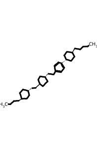 CCCCC[C@H]1CC[C@H](c2ccc(CC[C@H]3CC[C@H](CC[C@H]4CC[C@H](CCCC)CC4)CC3)cc2)CC1